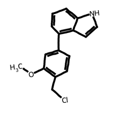 COc1cc(-c2cccc3[nH]ccc23)ccc1CCl